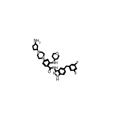 NC1CCC(N2CCN(c3ccc(C(=O)Nc4n[nH]c5ccc(Cc6cc(F)cc(F)c6)cc45)c(NC4CCOCC4)c3)CC2)C1